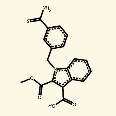 COC(=O)c1c(C(=O)O)c2ccccc2n1Cc1cccc(C(N)=S)c1